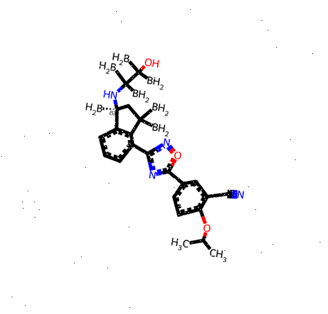 BC1(B)C[C@](B)(NC(B)(B)C(B)(B)O)c2cccc(-c3noc(-c4ccc(OC(C)C)c(C#N)c4)n3)c21